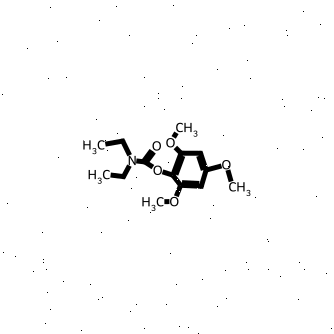 CCN(CC)C(=O)Oc1c(OC)cc(OC)cc1OC